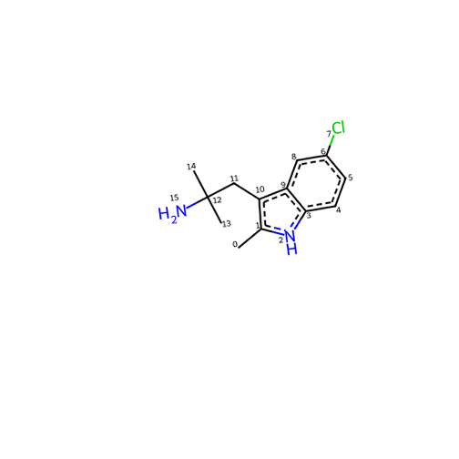 Cc1[nH]c2ccc(Cl)cc2c1CC(C)(C)N